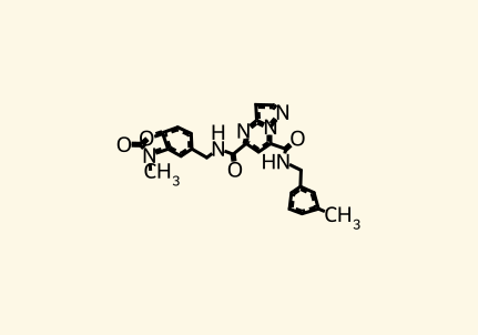 Cc1cccc(CNC(=O)c2cc(C(=O)NCc3ccc4oc(=O)n(C)c4c3)nc3ccnn23)c1